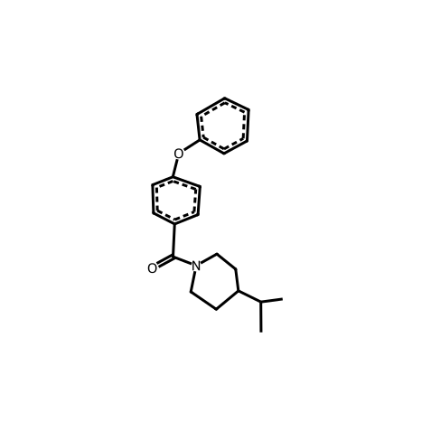 CC(C)C1CCN(C(=O)c2ccc(Oc3ccccc3)cc2)CC1